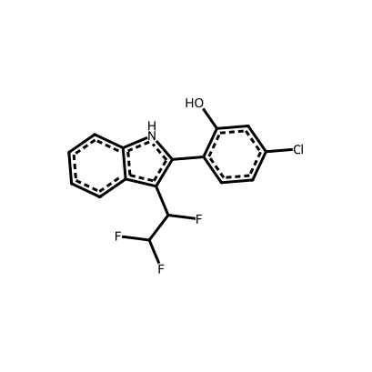 Oc1cc(Cl)ccc1-c1[nH]c2ccccc2c1C(F)C(F)F